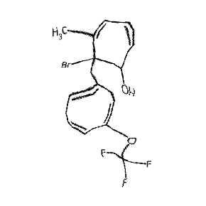 CC1=CC=CC(O)C1(Br)c1cccc(OC(F)(F)F)c1